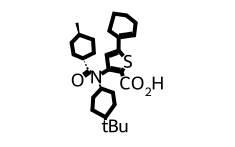 CC(C)(C)[C@H]1CC[C@H](N(c2cc(C3=CCCCC3)sc2C(=O)O)C(=O)[C@H]2CC[C@H](C)CC2)CC1